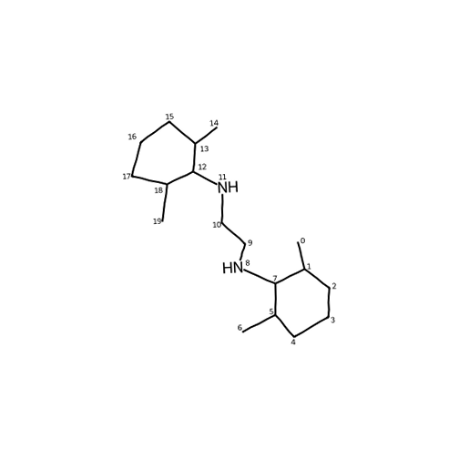 CC1CCCC(C)C1NCCNC1C(C)CCCC1C